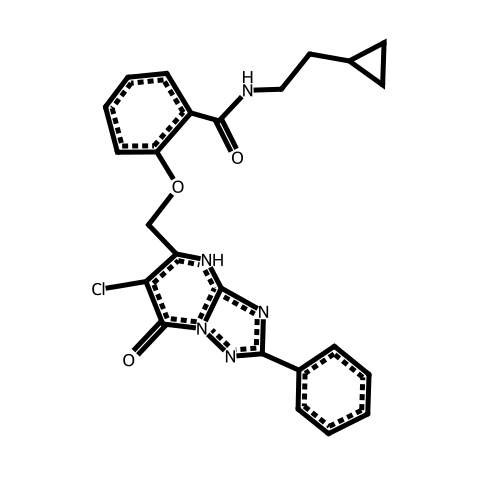 O=C(NCCC1CC1)c1ccccc1OCc1[nH]c2nc(-c3ccccc3)nn2c(=O)c1Cl